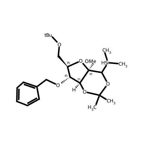 CO[C@@]12O[C@H](COC(C)(C)C)[C@@H](OCc3ccccc3)[C@@H]1OC(C)(C)OC2[SiH](C)C